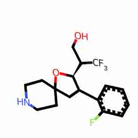 OCC([C@@H]1OC2(CCNCC2)CC1c1ccccc1F)C(F)(F)F